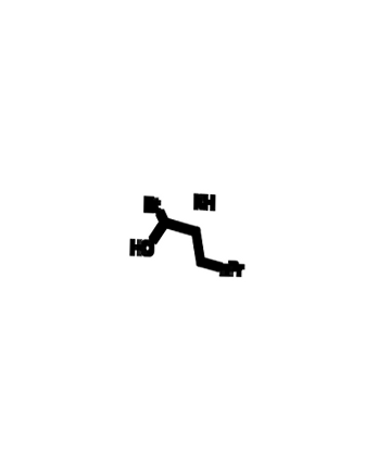 CCCCCC(O)CC.[KH]